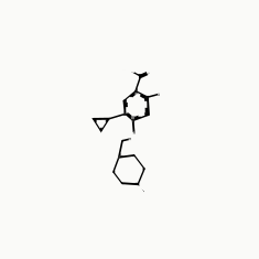 C[C@H]1CC[C@@](C)(COc2cc(F)c(C(=O)O)cc2C2CC2)CC1